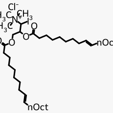 CCCCCCCCC=CCCCCCCCC(=O)OCC(OC(=O)CCCCCCCC=CCCCCCCCC)C(I)[N+](C)(C)C.[Cl-]